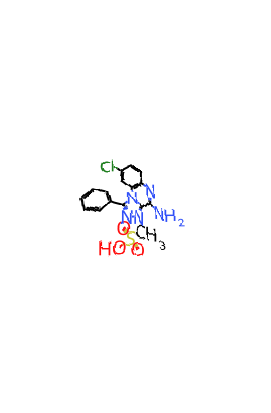 CS(=O)(=O)O.Nc1nc2ccc(Cl)cc2n2c(-c3ccccc3)nnc12